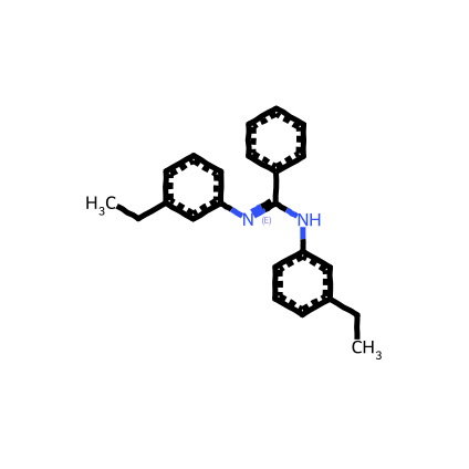 CCc1cccc(/N=C(/Nc2cccc(CC)c2)c2ccccc2)c1